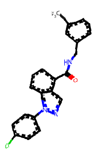 O=C(NCc1cccc(C(F)(F)F)c1)c1cccc2c1cnn2-c1ccc(Cl)cc1